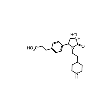 Cl.O=C(O)CCc1ccc(C2CNC(=O)N2CCC2CCNCC2)cc1